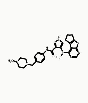 CN1CCN(Cc2ccc(NC(=O)c3n[nH]cc3N(C)c3ncnc4sc5c(c34)CCC5)cc2)CC1